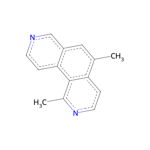 Cc1cc2cnccc2c2c(C)nccc12